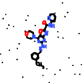 Cc1cccc(/C=N/Nc2nc(N3CCOCC3)c3oc(C(=O)Nc4ccccn4)nc3n2)c1